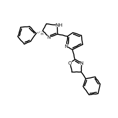 c1ccc(C2COC(c3cccc(C4=N[C@H](c5ccccc5)CN4)n3)=N2)cc1